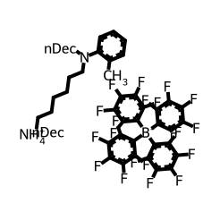 CCCCCCCCCCCCCCCCN(CCCCCCCCCC)c1ccccc1C.Fc1c(F)c(F)c([B-](c2c(F)c(F)c(F)c(F)c2F)(c2c(F)c(F)c(F)c(F)c2F)c2c(F)c(F)c(F)c(F)c2F)c(F)c1F.[NH4+]